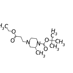 CCOC(=O)CCN1CCN(C(=O)OC(C)(C)C)C(C)C1